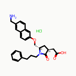 Cl.NCc1ccc2cc(OC[C@@H]3C[C@@H](CC(=O)O)C(=O)N3CCCc3ccccc3)ccc2c1